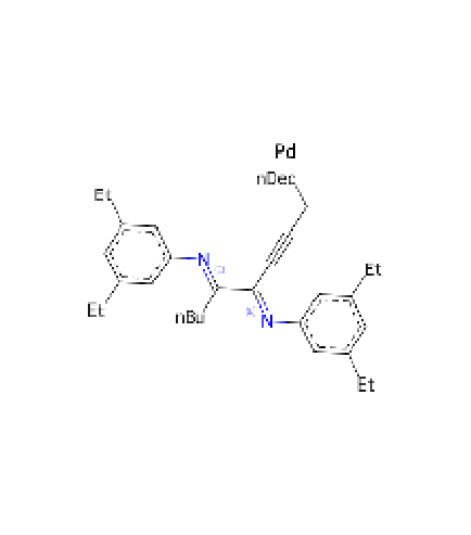 CCCCCCCCCCCC#CC(=N\c1cc(CC)cc(CC)c1)/C(CCCC)=N/c1cc(CC)cc(CC)c1.[Pd]